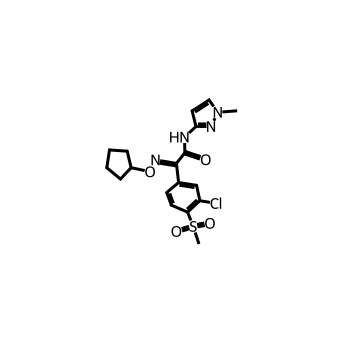 Cn1ccc(NC(=O)/C(=N/OC2CCCC2)c2ccc(S(C)(=O)=O)c(Cl)c2)n1